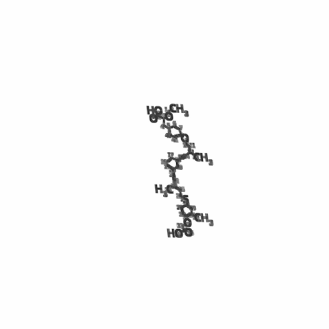 CCOC(Cc1ccc(OCC=C(C)C#Cc2cccc(C#CC(C)=CCSc3ccc(OCC(=O)O)c(C)c3)c2)cc1)C(=O)O